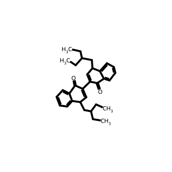 CCC(CC)CC1C=C(C2=CC(CC(CC)CC)c3ccccc3C2=O)C(=O)c2ccccc21